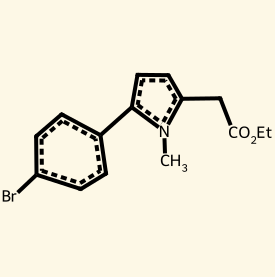 CCOC(=O)Cc1ccc(-c2ccc(Br)cc2)n1C